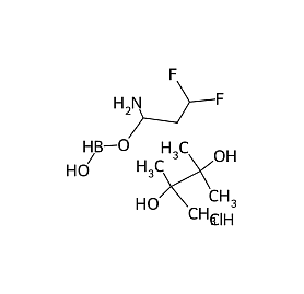 CC(C)(O)C(C)(C)O.Cl.NC(CC(F)F)OBO